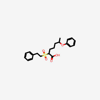 CC(CCCC(C(=O)O)S(=O)(=O)CCc1ccccc1)Oc1ccccc1